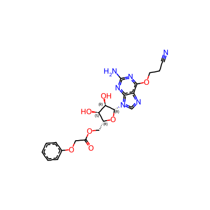 N#CCCOc1nc(N)nc2c1ncn2[C@@H]1O[C@H](COC(=O)COc2ccccc2)[C@@H](O)[C@H]1O